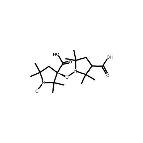 CC1(C)CC(C(=O)O)C(C)(C)N1O[C@]1(C(=O)O)CC(C)(C)N([O])C1(C)C